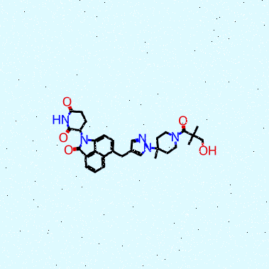 CC(C)(CO)C(=O)N1CCC(C)(n2cc(Cc3ccc4c5c(cccc35)C(=O)N4C3CCC(=O)NC3=O)cn2)CC1